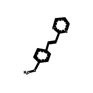 COc1ccc(C=Cc2ncccn2)cc1